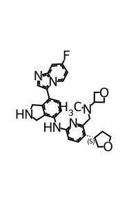 CN(Cc1nc(Nc2ccc(-c3cnc4cc(F)ccn34)c3c2CNC3)ccc1[C@@H]1CCOC1)C1COC1